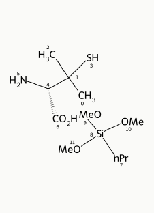 CC(C)(S)[C@@H](N)C(=O)O.CCC[Si](OC)(OC)OC